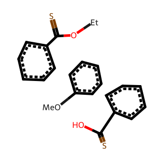 CCOC(=S)c1ccccc1.COc1ccccc1.OC(=S)c1ccccc1